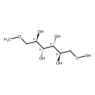 COC[C@@H](O)[C@@H](O)[C@H](O)[C@H](O)COS